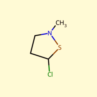 CN1CCC(Cl)S1